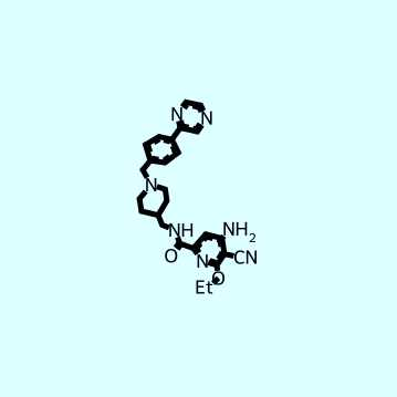 CCOc1nc(C(=O)NCC2CCN(Cc3ccc(-c4cnccn4)cc3)CC2)cc(N)c1C#N